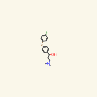 CN(C)CCC(O)c1ccc(Sc2ccc(F)cc2)cc1